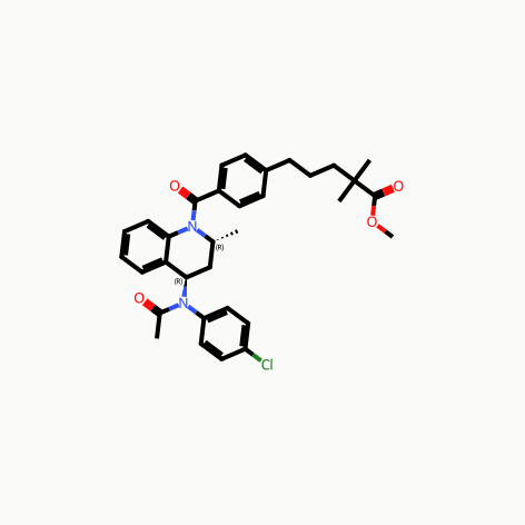 COC(=O)C(C)(C)CCCc1ccc(C(=O)N2c3ccccc3[C@H](N(C(C)=O)c3ccc(Cl)cc3)C[C@H]2C)cc1